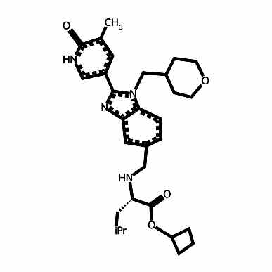 Cc1cc(-c2nc3cc(CN[C@@H](CC(C)C)C(=O)OC4CCC4)ccc3n2CC2CCOCC2)c[nH]c1=O